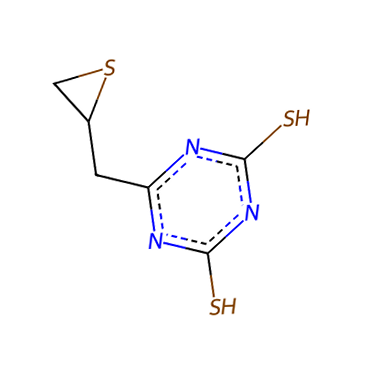 Sc1nc(S)nc(CC2CS2)n1